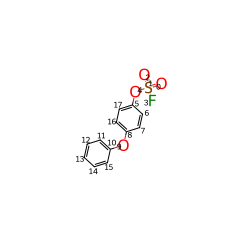 O=S(=O)(F)Oc1ccc(Oc2ccccc2)cc1